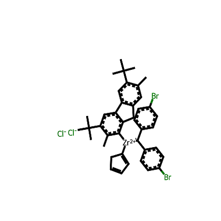 Cc1cc2c(cc1C(C)(C)C)-c1cc(C(C)(C)C)c(C)[c]([Zr+2]([C]3=CC=CC3)=[C](c3ccc(Br)cc3)c3ccc(Br)cc3)c1C2.[Cl-].[Cl-]